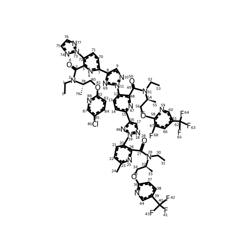 CCN(C(=O)c1nc(-c2cnn(-c3ccc(-c4cnn(-c5ccc(C)nc5C(=O)N(CC)[C@@H](C)COc5ccc(C(F)(F)F)cn5)n4)nc3C(=O)N(CC)[C@@H](C)COc3ncc(C(F)(F)F)cc3F)n2)ccc1-n1nccn1)[C@@H](C)COc1ccc(Cl)cn1